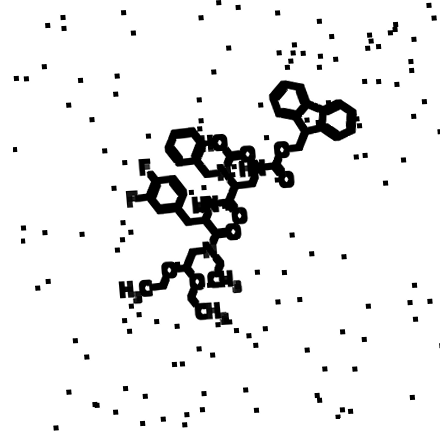 CCOC(CN(CC)C(=O)C(Cc1ccc(F)c(F)c1)NC(=O)C(CNC(=O)OCC1c2ccccc2-c2ccccc21)N(Cc1ccccc1)C(=O)O)OCC